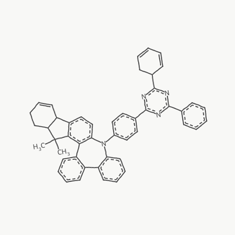 CC1(C)c2c(ccc3c2-c2ccccc2-c2ccccc2N3c2ccc(-c3nc(-c4ccccc4)nc(C4C=CC=CC4)n3)cc2)C2C=CCCC21